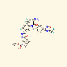 COC(=O)N1CC2CC(c3nnc(-c4cc5c(cc4F)C(F)(F)C[C@@H](N)C(=O)N5Cc4ccc(-c5noc(C(F)(F)F)n5)cc4)o3)(C2)C1